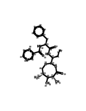 CC(C)C[C@H](NC(=O)[C@H](Cc1ccccc1)NC(=O)c1cnccn1)B1OC[C@@H](C)N(C)[C@@H](C)C(=O)O1